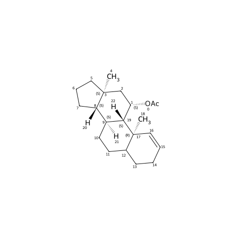 CC(=O)O[C@H]1C[C@]2(C)CCC[C@H]2[C@@H]2CCC3CCC=C[C@]3(C)[C@H]21